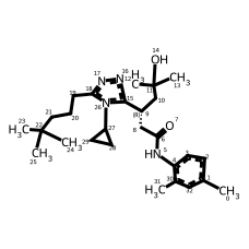 Cc1ccc(NC(=O)C[C@@H](CC(C)(C)O)c2nnc(CCCC(C)(C)C)n2C2CC2)c(C)c1